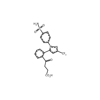 NS(=O)(=O)c1ccc(-n2nc(C(F)(F)F)cc2-c2ccccc2C(=O)CCC(=O)O)cc1